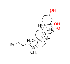 CC(C)CCC[C@@H](C)[C@H]1CC[C@H]2[C@@H]3CC(=O)C4(O)CC(O)CC[C@]4(C)[C@H]3CC[C@]12C